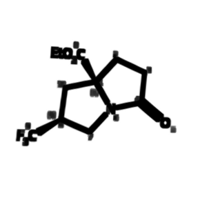 CCOC(=O)[C@@]12CCC(=O)N1C[C@@H](C(F)(F)F)C2